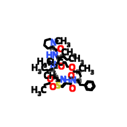 C=CCOC(=O)[C@@H](C)C[C@H](Cc1ccccc1)NC(=O)c1csc([C@@H](C[C@H](C(C)C)N(C)C(=O)[C@@H](NC(=O)[C@H]2CCCCN2C)[C@@H](C)CC)OC(=O)CC)n1